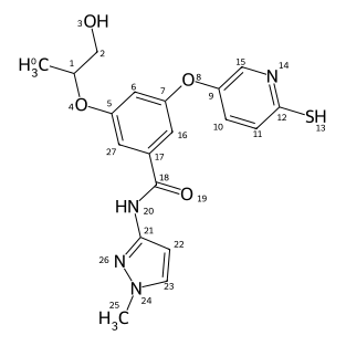 CC(CO)Oc1cc(Oc2ccc(S)nc2)cc(C(=O)Nc2ccn(C)n2)c1